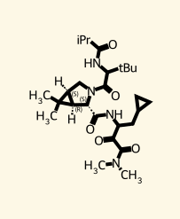 CC(C)C(=O)NC(C(=O)N1C[C@H]2[C@@H]([C@H]1C(=O)NC(CC1CC1)C(=O)C(=O)N(C)C)C2(C)C)C(C)(C)C